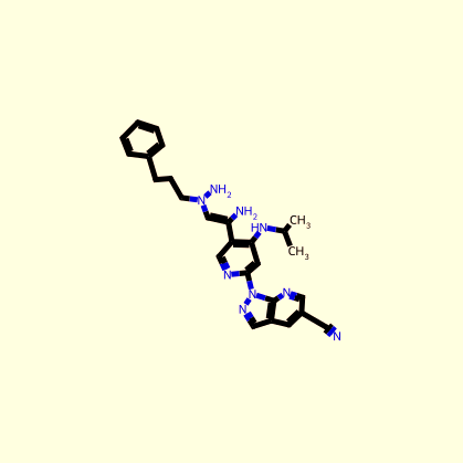 CC(C)Nc1cc(-n2ncc3cc(C#N)cnc32)ncc1/C(N)=C/N(N)CCCc1ccccc1